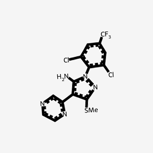 CSc1nn(-c2c(Cl)cc(C(F)(F)F)cc2Cl)c(N)c1-c1cnccn1